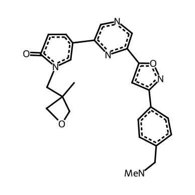 CNCc1ccc(-c2cc(-c3cncc(-c4ccc(=O)n(CC5(C)COC5)c4)n3)on2)cc1